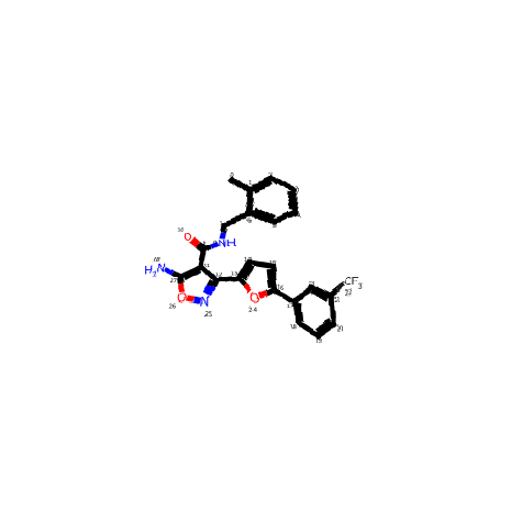 Cc1ccccc1CNC(=O)c1c(-c2ccc(-c3cccc(C(F)(F)F)c3)o2)noc1N